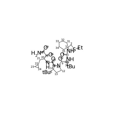 CCSCC1(NC(=O)N[C@H](C(=O)N2CCC(C(C)(C)C)[C@H]2C(=O)NC(CC2CC2)C(=O)C(N)=O)C(C)(C)C)CCCCC1